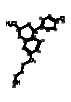 CN1Cc2cc(OCCCO)ccc2C(c2ccc(Cl)cc2)C1